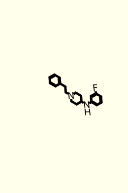 Fc1cccc(NC2CCN(CCc3ccccc3)CC2)c1